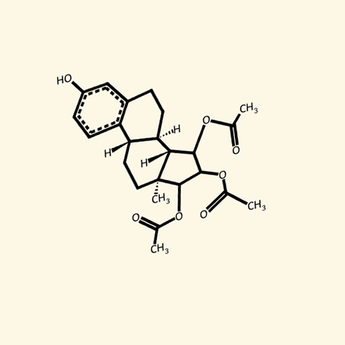 CC(=O)OC1C(OC(C)=O)[C@H]2[C@@H]3CCc4cc(O)ccc4[C@H]3CC[C@]2(C)C1OC(C)=O